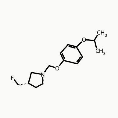 CC(C)Oc1ccc(OCN2CC[C@H](CF)C2)cc1